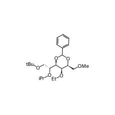 CCO[C@H]1[C@@H]([C@@H](COC(C)(C)C)OC(C)C)OC(c2ccccc2)O[C@H]1COC